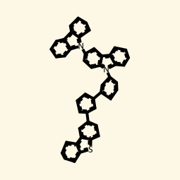 c1cc(-c2cccc(-n3c4ccccc4c4cc(-n5c6ccccc6c6ccccc65)ccc43)c2)cc(-c2ccc3sc4ccccc4c3c2)c1